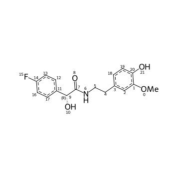 COc1cc(CCNC(=O)[C@H](O)c2ccc(F)cc2)ccc1O